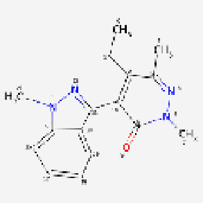 CCc1c(C)nn(C)c(=O)c1-c1nn(C)c2ccccc12